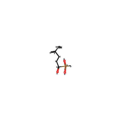 C=C(CCC(=O)S(C)(=O)=O)C(C)(C)C